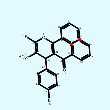 O=C(O)C1=C(F)OC(c2ccccc2)=C(C(=O)c2ccccc2)C1c1ccc(Br)cc1